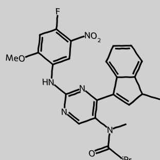 COc1cc(F)c([N+](=O)[O-])cc1Nc1ncc(N(C)C(=O)C(C)C)c(C2=CC(C)c3ccccc32)n1